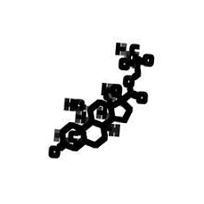 C[C@]12CCC(=O)C=C1CC[C@@H]1[C@@H]2[C@H](O)C[C@@]2(C)[C@H]1CC[C@]2(O)C(=O)OCS(C)(=O)=O